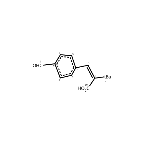 CC(C)(C)C(=Cc1ccc(C=O)cc1)C(=O)O